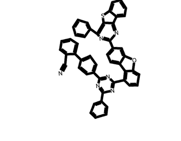 N#Cc1ccccc1-c1ccc(-c2nc(-c3ccccc3)nc(-c3cccc4oc5cc(-c6nc(-c7ccccc7)c7sc8ccccc8c7n6)ccc5c34)n2)cc1